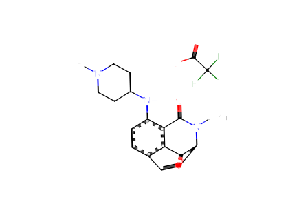 CCCCN1C(=O)c2c(NC3CCN(C(C)C)CC3)ccc3c2C(=O)C1C=C3.O=C(O)C(F)(F)F